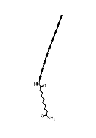 C#CC#CC#CC#CC#CC#CC#CC#CC#CNC(=O)CCCCCCCCC(N)=O